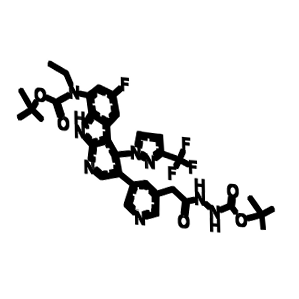 CCN(C(=O)OC(C)(C)C)c1cc(F)cc2c1[nH]c1ncc(-c3cncc(CC(=O)NNC(=O)OC(C)(C)C)c3)c(-n3ccc(C(F)(F)F)n3)c12